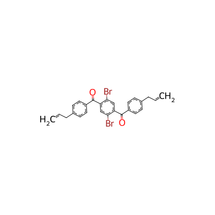 C=CCc1ccc(C(=O)c2cc(Br)c(C(=O)c3ccc(CC=C)cc3)cc2Br)cc1